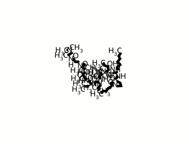 CCC/C=C/C(=O)N1CCC[C@H]1C(=O)N[C@@H](CCCCCCCC)C(=O)N[C@H](C(=O)NC(C)(C)C(=O)N[C@@H](CC(C)C)C(=O)N[C@@H](CC(C)C)C(=O)NC(C)(C)C(=O)NC(C)(C)C(=O)NCCC(=O)N[C@@H](C)CN(C)C)[C@H](O)C(C)C